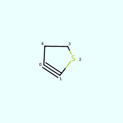 C1#CSCC1